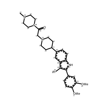 COc1ccc(-c2[nH]c3ccc(C4CCN(CC(=O)N5CCN(C)CC5)CC4)cc3c2C(C)C)cc1OC